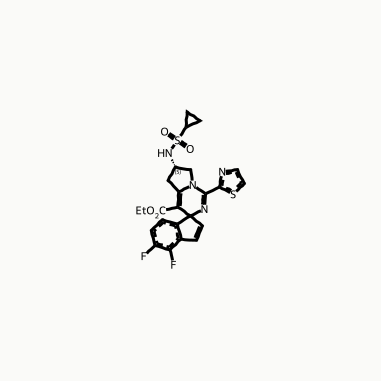 CCOC(=O)C1=C2C[C@H](NS(=O)(=O)C3CC3)CN2C(c2nccs2)=NC12C=Cc1c2ccc(F)c1F